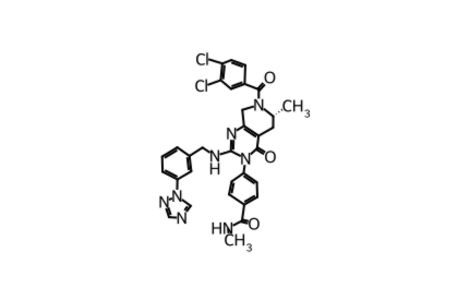 CNC(=O)c1ccc(-n2c(NCc3cccc(-n4cncn4)c3)nc3c(c2=O)C[C@@H](C)N(C(=O)c2ccc(Cl)c(Cl)c2)C3)cc1